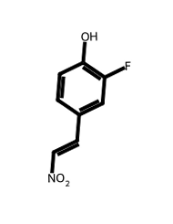 O=[N+]([O-])C=Cc1ccc(O)c(F)c1